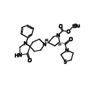 CC(C)(C)OC(=O)N1C[C@@H](N2CCC3(CC2)C(=O)NCN3c2ccccc2)C[C@H]1C(=O)N1CCSC1